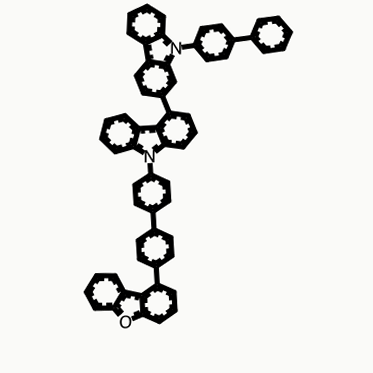 c1ccc(-c2ccc(-n3c4ccccc4c4ccc(-c5cccc6c5c5ccccc5n6-c5ccc(-c6ccc(-c7cccc8oc9ccccc9c78)cc6)cc5)cc43)cc2)cc1